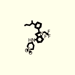 CCCC(C)c1cccc(-c2cc3c(NC4CCS(=O)(=O)CC4)cccc3n2CC(F)(F)F)c1